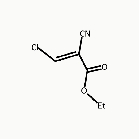 CCOC(=O)C(C#N)=CCl